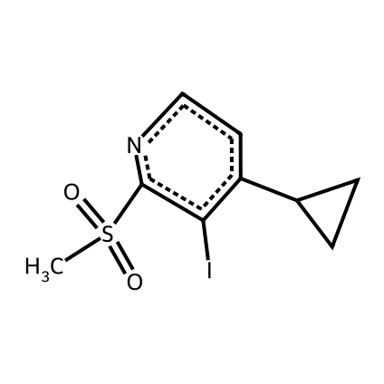 CS(=O)(=O)c1nccc(C2CC2)c1I